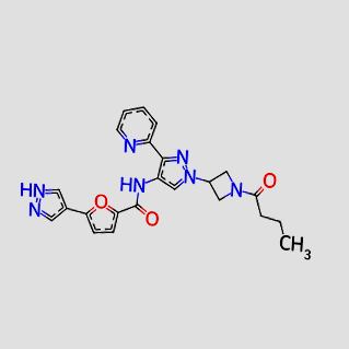 CCCC(=O)N1CC(n2cc(NC(=O)c3ccc(-c4cn[nH]c4)o3)c(-c3ccccn3)n2)C1